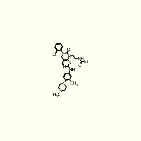 CCC(=O)NCCN1C(=O)N(c2ccccc2Cl)Cc2cnc(Nc3ccc(N4CCN(C)CC4)c(C)c3)nc21